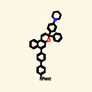 CCCCCc1ccc(-c2ccc(-c3cc4c(c5ccccc35)C=CC(c3ccccc3)(c3ccc(N5CCCCC5)cc3)O4)cc2)cc1